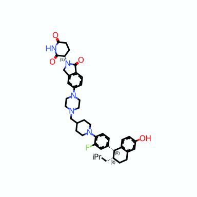 CC(C)C[C@H]1CCc2cc(O)ccc2[C@H]1c1ccc(N2CCC(CN3CCN(c4ccc5c(c4)CN([C@H]4CCC(=O)NC4=O)C5=O)CC3)CC2)c(F)c1